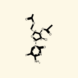 CC(=O)OC[C@H]1O[C@@H](n2cc(F)c(N)nc2=O)[C@H](Cl)[C@@H]1OC(C)=O